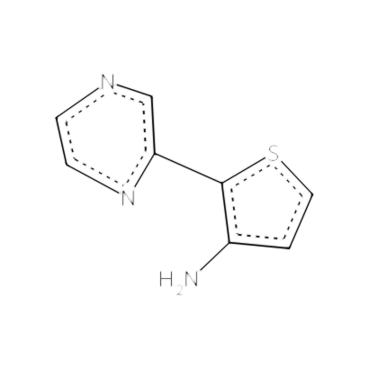 Nc1ccsc1-c1cnccn1